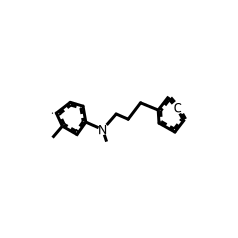 Cc1[c]ccc(N(C)CCCc2ccccc2)c1